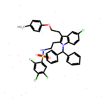 O=C(O)c1ccc(OCCc2c(CCNS(=O)(=O)c3cc(F)c(Cl)cc3F)n(C(c3ccccc3)c3ccccc3)c3ccc(Cl)cc23)cc1